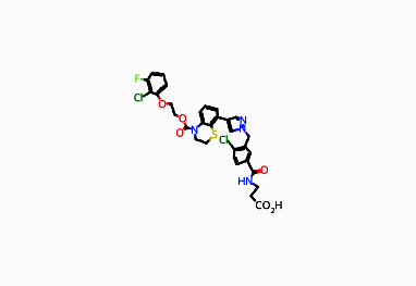 O=C(O)CCNC(=O)c1ccc(Cl)c(Cn2cc(-c3cccc4c3SCCN4C(=O)OCCOc3cccc(F)c3Cl)cn2)c1